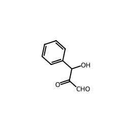 O=CC(=O)C(O)c1ccccc1